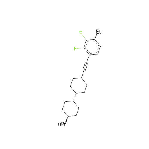 CCC[C@H]1CC[C@H](C2CCC(C#Cc3ccc(CC)c(F)c3F)CC2)CC1